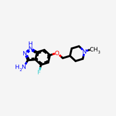 CN1CCC(COc2cc(F)c3c(N)n[nH]c3c2)CC1